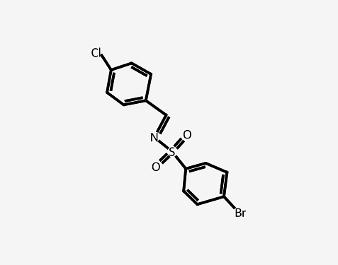 O=S(=O)(/N=C/c1ccc(Cl)cc1)c1ccc(Br)cc1